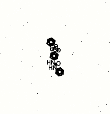 O=C(Nc1ccccc1)Nc1ccc(S(=O)(=O)Oc2ccccc2)cc1